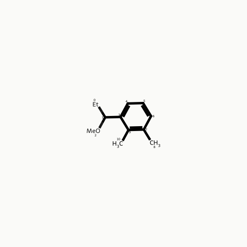 CCC(OC)c1cccc(C)c1C